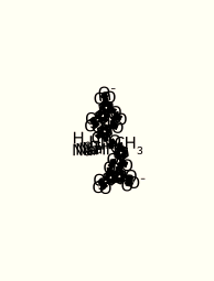 Cc1ccc(C(=O)N2C(=O)Oc3cc(S(=O)(=O)[O-])cc4cc(S(=O)(=O)[O-])cc2c34)cc1NC(=O)Nc1cc(C(=O)N2C(=O)Oc3cc(S(=O)(=O)[O-])cc4cc(S(=O)(=O)[O-])cc2c34)ccc1C.[Na+].[Na+].[Na+].[Na+]